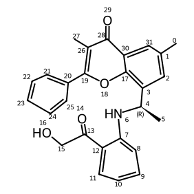 Cc1cc([C@@H](C)Nc2ccccc2C(=O)CO)c2oc(-c3ccccc3)c(C)c(=O)c2c1